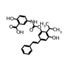 CC(C)c1c(O)cc(/C=C/c2ccccc2)cc1OC(=O)Nc1ccc(O)c(C(=O)O)c1